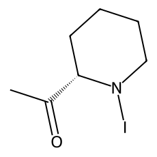 CC(=O)[C@@H]1CCCCN1I